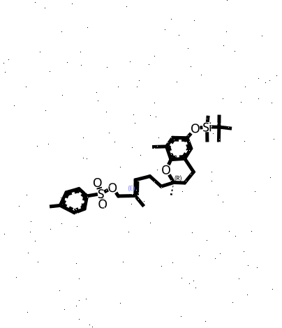 C/C(=C\CC[C@]1(C)CCc2cc(O[Si](C)(C)C(C)(C)C)cc(C)c2O1)COS(=O)(=O)c1ccc(C)cc1